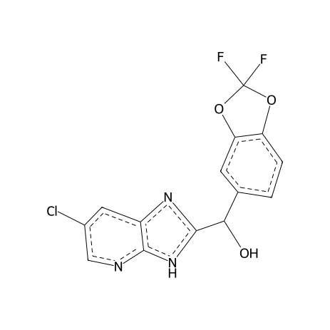 OC(c1ccc2c(c1)OC(F)(F)O2)c1nc2cc(Cl)cnc2[nH]1